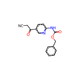 N#CCC(=O)c1ccc(NC(=O)OCc2ccccc2)nc1